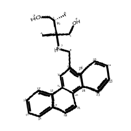 C[C@@H](O)C(C)(CO)NCc1cc2c3ccccc3ccc2c2ccccc12